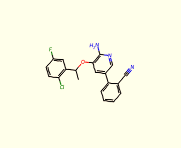 CC(Oc1cc(-c2ccccc2C#N)cnc1N)c1cc(F)ccc1Cl